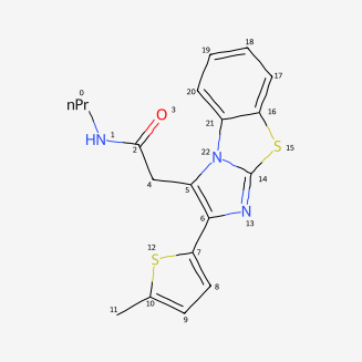 CCCNC(=O)Cc1c(-c2ccc(C)s2)nc2sc3ccccc3n12